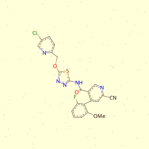 COc1cccc(F)c1-c1cc(C#N)ncc1C(=O)Nc1nnc(OCc2ccc(Cl)cn2)s1